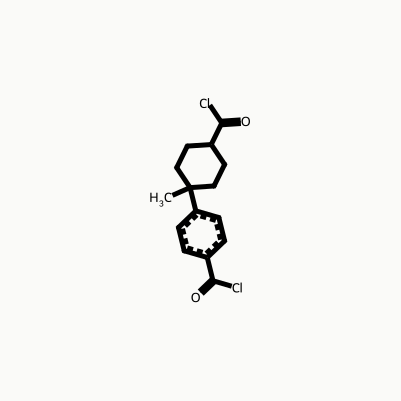 CC1(c2ccc(C(=O)Cl)cc2)CCC(C(=O)Cl)CC1